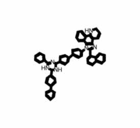 C1=Cc2c(c3ccccc3c3c2nc(-c2cccc4ccccc24)n3-c2ccc(-c3ccc(C4N=C(c5ccccc5)NC(c5ccc(-c6ccccc6)cc5)N4)cc3)cc2)NC1